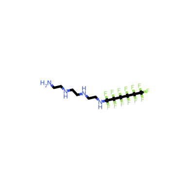 NCCNCCNCCNC(F)(F)C(F)(F)C(F)(F)C(F)(F)C(F)(F)C(F)(F)F